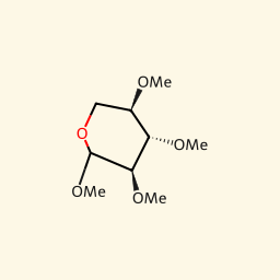 COC1OC[C@@H](OC)[C@H](OC)[C@H]1OC